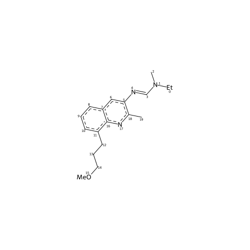 CCN(C)C=Nc1cc2cccc(CCCOC)c2nc1C